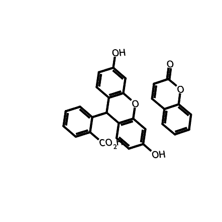 O=C(O)c1ccccc1C1c2ccc(O)cc2Oc2cc(O)ccc21.O=c1ccc2ccccc2o1